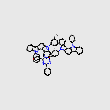 N#Cc1ccc(-c2cc(-c3nc(-c4ccccc4)nc(-c4ccccc4)n3)ccc2-n2c3ccccc3c3c2ccc2c4ccccc4n(-c4ccccc4)c23)c(-n2c3ccccc3c3c2ccc2c4ccccc4n(-c4ccccc4)c23)c1